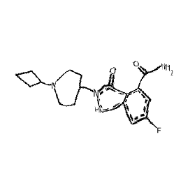 NC(=O)c1cc(F)cc2[nH]n(C3CCN(C4CCC4)CC3)c(=O)c12